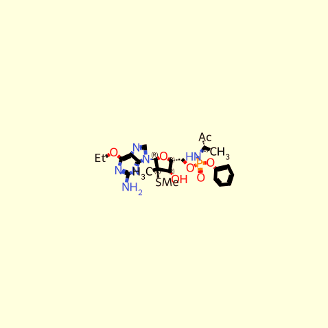 CCOc1nc(N)nc2c1ncn2[C@@H]1O[C@H](COP(=O)(N[C@@H](C)C(C)=O)Oc2ccccc2)[C@@H](O)[C@@]1(C)SC